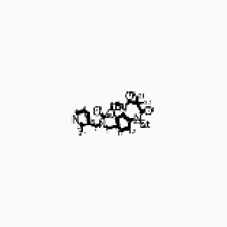 [CH2]c1ncccc1CN(Cc1ccc2c(c1)N(C)C(=O)C(C)(C)C(=O)N2CC)C(=O)OC(C)(C)C